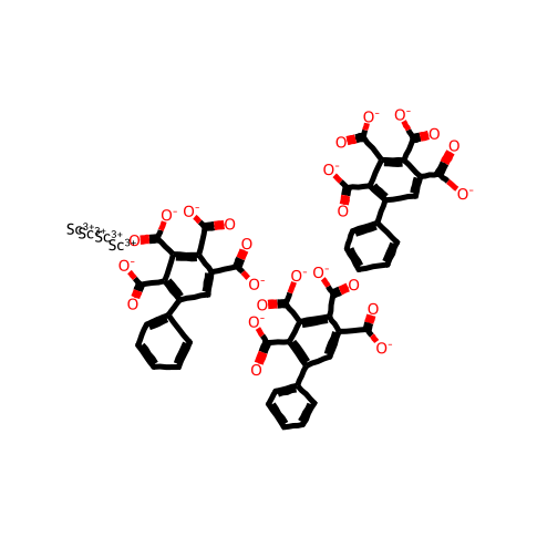 O=C([O-])c1cc(-c2ccccc2)c(C(=O)[O-])c(C(=O)[O-])c1C(=O)[O-].O=C([O-])c1cc(-c2ccccc2)c(C(=O)[O-])c(C(=O)[O-])c1C(=O)[O-].O=C([O-])c1cc(-c2ccccc2)c(C(=O)[O-])c(C(=O)[O-])c1C(=O)[O-].[Sc+3].[Sc+3].[Sc+3].[Sc+3]